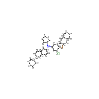 Clc1cc(N(c2ccccc2)c2ccc3cc(-c4ccccc4)ccc3c2)cc2c1sc1cc3ccccc3cc12